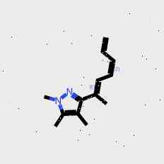 C=C/C=C\C=C(/C)c1nn(C)c(C)c1C